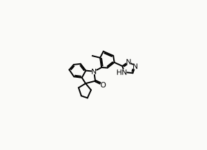 Cc1ccc(-c2nnc[nH]2)cc1N1C(=O)C2(CCCC2)c2ccccc21